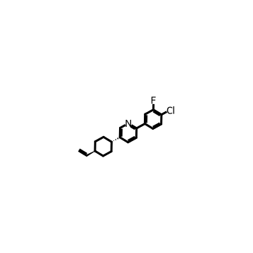 C=C[C@H]1CC[C@H](c2ccc(-c3ccc(Cl)c(F)c3)nc2)CC1